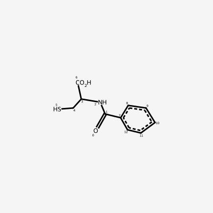 O=C(NC(CS)C(=O)O)c1ccccc1